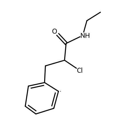 CCNC(=O)C(Cl)Cc1[c]cccc1